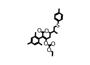 CCOC(=O)OC1=C(c2c(C)cc(C)cc2C)C(=O)OC(C(C)CSc2ccc(C)cc2)C1